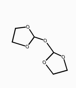 C1COC(OC2OCCO2)O1